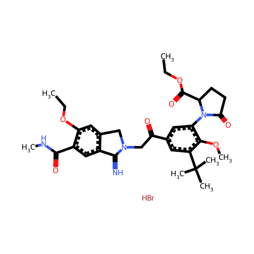 Br.CCOC(=O)C1CCC(=O)N1c1cc(C(=O)CN2Cc3cc(OCC)c(C(=O)NC)cc3C2=N)cc(C(C)(C)C)c1OC